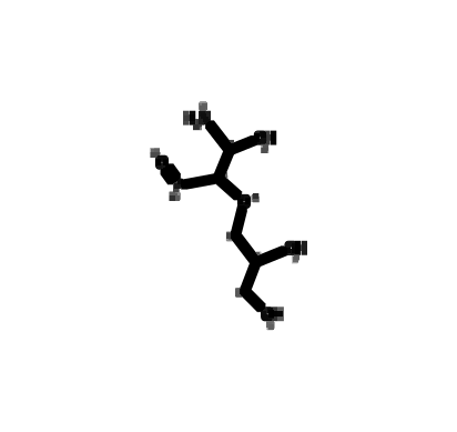 NC(O)C(OCC(O)CO)P=O